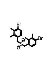 Cc1c(Br)ccc(CS(=O)(=O)Cc2ccc(Br)c(C)c2C)c1C